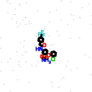 NS(=O)(=O)c1cc(NC(=O)Cc2ccc(C(F)(F)F)cc2)ccc1Oc1ccccc1Cl